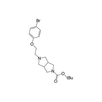 CC(C)(C)OC(=O)N1CC2CN(CCOc3ccc(Br)cc3)CC2C1